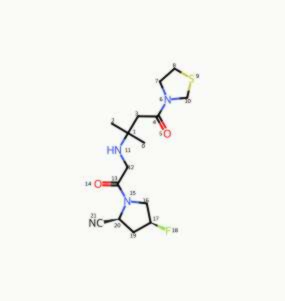 CC(C)(CC(=O)N1CCSC1)NCC(=O)N1C[C@@H](F)C[C@H]1C#N